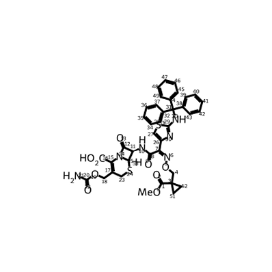 COC(=O)C1(CO/N=C(\C(=O)N[C@@H]2C(=O)N3C(C(=O)O)=C(COC(N)=O)CS[C@H]23)c2csc(NC(c3ccccc3)(c3ccccc3)c3ccccc3)n2)CC1